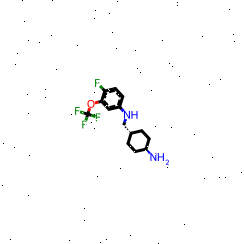 N[C@H]1CC[C@H](CNc2ccc(F)c(OC(F)(F)F)c2)CC1